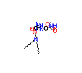 CCCCCCCCN(CCCCCCCC)CCCOc1cc2c(Nc3ccc(C(CC(=O)OC)NC(C)=O)cc3)ncnc2cc1OC